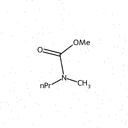 CCCN(C)C(=O)OC